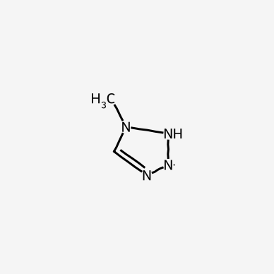 CN1C=N[N]N1